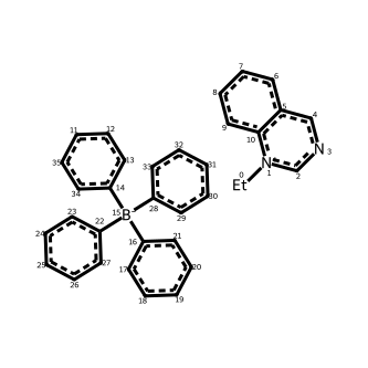 CC[n+]1cncc2ccccc21.c1ccc([B-](c2ccccc2)(c2ccccc2)c2ccccc2)cc1